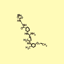 C=CCOc1ccc(C)c(NC(=C)/C=C\N=C(/N)Nc2cccc(C(=O)NCCNC(=O)OC(C)(C)C)c2)c1